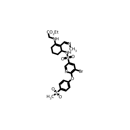 CCOC(=O)CNC1=C(/C=N\C)C(NS(=O)(=O)c2cnc(Oc3ccc(S(C)(=O)=O)cc3)c(Br)c2)CCC1